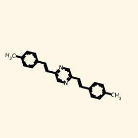 Cc1ccc(C=Cc2cnc(C=Cc3ccc(C)cc3)cn2)cc1